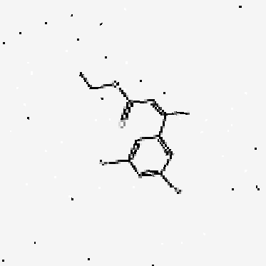 CCOC(=O)/C=C(/C)c1cc(Br)cc(Br)c1